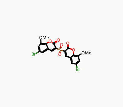 COc1cc(Br)cc2cc(S(=O)(=O)c3cc4cc(Br)cc(OC)c4oc3=O)c(=O)oc12